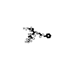 Nc1nc(C(=NOCC(=O)OCc2ccccc2)C(=O)N[C@H]2CN(S(=O)(=O)O)C2=O)cs1